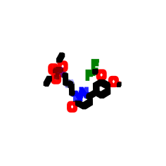 CCOP(=O)(C/C=C/Cn1nc(-c2ccc(OC)c(OC(F)F)c2)ccc1=O)OCC